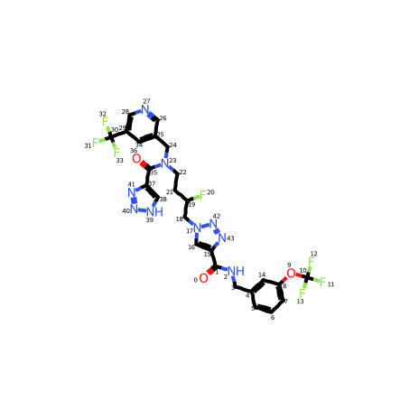 O=C(NCc1cccc(OC(F)(F)F)c1)c1cn(CC(F)CCN(Cc2cncc(C(F)(F)F)c2)C(=O)c2c[nH]nn2)nn1